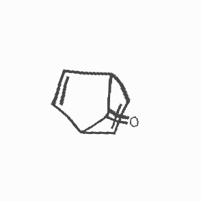 O=C1C2C=CC1C=C2